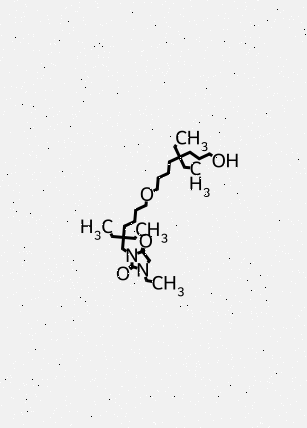 CCN1CC(=O)N(CC(CC)(CC)CCCCOCCCCC(CC)(CC)CCCO)C1=O